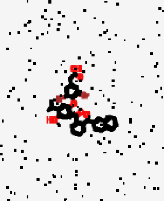 CC(C)c1cc(Oc2c(Br)cc(CC(=O)O)cc2Br)c(C(=O)c2ccccc2C(=O)c2ccc3ccccc3c2)cc1O